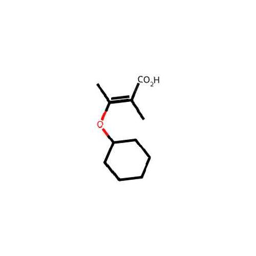 CC(OC1CCCCC1)=C(C)C(=O)O